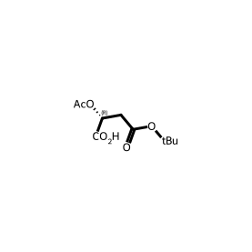 CC(=O)O[C@H](CC(=O)OC(C)(C)C)C(=O)O